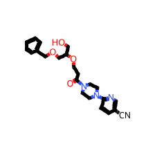 N#Cc1ccc(N2CCN(C(=O)CCOC(CO)COCc3ccccc3)CC2)nc1